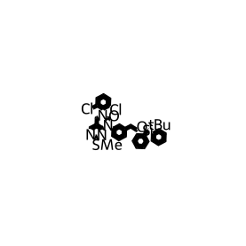 CSc1ncc2c(n1)N(c1cccc(CCO[Si](c3ccccc3)(c3ccccc3)C(C)(C)C)c1)C(=O)N(c1c(Cl)cccc1Cl)C2